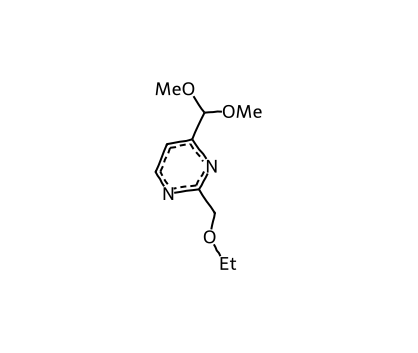 CCOCc1nccc(C(OC)OC)n1